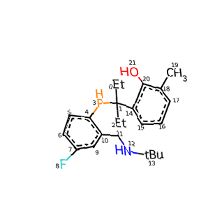 CCC(CC)(Pc1ccc(F)cc1CNC(C)(C)C)c1cccc(C)c1O